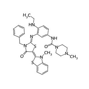 CCNc1ccc(NC(=O)N2CCN(C)CC2)cc1N=C1SC(=C2Sc3ccccc3N2C)C(=O)N1Cc1ccccc1